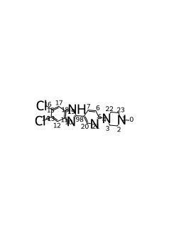 CN1CCN(c2ccc(-c3nc4cc(Cl)c(Cl)cc4[nH]3)cn2)CC1